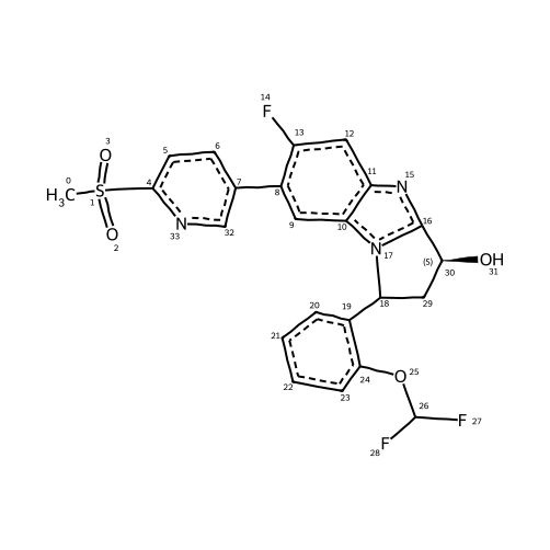 CS(=O)(=O)c1ccc(-c2cc3c(cc2F)nc2n3C(c3ccccc3OC(F)F)C[C@@H]2O)cn1